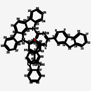 c1ccc(-c2nc(-c3ccc4c(c3)Cc3ccccc3-4)nc(-n3c4ccccc4c4ccc5c6ccccc6n(-c6cccc(-c7nc8ccccc8o7)c6)c5c43)n2)cc1